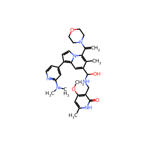 C=C(c1c(C)c(C(O)NCc2c(OC)cc(C)[nH]c2=O)cc2c(-c3ccnc(N(C)C)c3)ccn12)N1CCOCC1